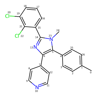 Cc1ccc(-c2c(-c3ccncc3)nc(-c3cccc(Cl)c3Cl)n2C)cc1